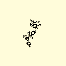 O=C(Nc1cc(-c2ccc(F)cc2)n[nH]1)c1ccc(Oc2cc3c(cc2Cl)C(C(=O)O)CCO3)cc1